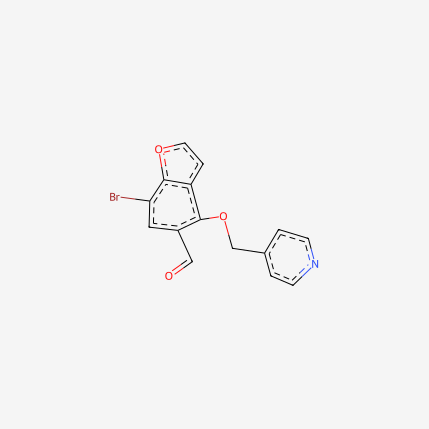 O=Cc1cc(Br)c2occc2c1OCc1ccncc1